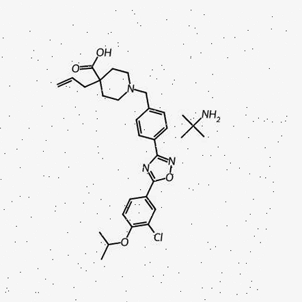 C=CCC1(C(=O)O)CCN(Cc2ccc(-c3noc(-c4ccc(OC(C)C)c(Cl)c4)n3)cc2)CC1.CC(C)(C)N